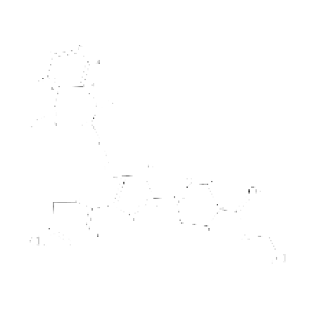 CCOC(=O)C1CCN(c2nc(-c3ccc(Cl)cc3)c(CCCOc3ccccc3OC)o2)CC1